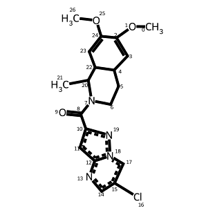 COC1=CC2CCN(C(=O)c3cc4ncc(Cl)cn4n3)C(C)C2C=C1OC